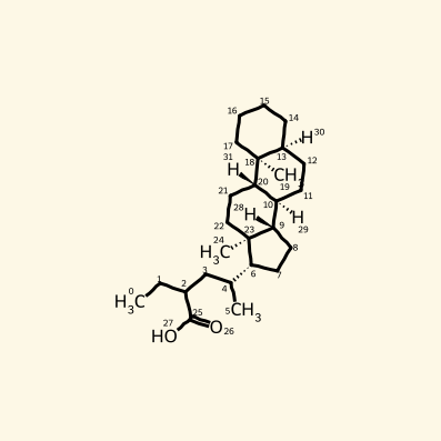 CCC(CC(C)[C@H]1CC[C@H]2[C@@H]3CC[C@@H]4CCCC[C@]4(C)[C@H]3CC[C@]12C)C(=O)O